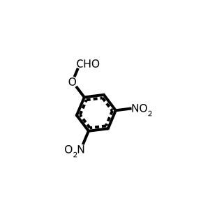 O=COc1cc([N+](=O)[O-])cc([N+](=O)[O-])c1